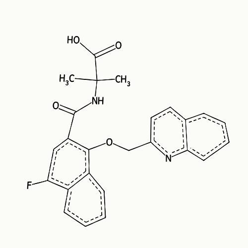 CC(C)(NC(=O)c1cc(F)c2ccccc2c1OCc1ccc2ccccc2n1)C(=O)O